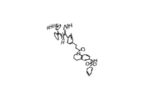 CCCCCCOC(=O)NC(=N)c1ccc(CCC(=O)N2CCCc3cc(NS(=O)(=O)c4ccccc4)ccc32)cc1